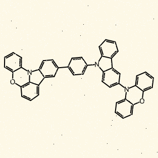 c1ccc2c(c1)Oc1ccccc1N2c1ccc2c(c1)c1ccccc1n2-c1ccc(-c2ccc3c(c2)c2cccc4c2n3-c2ccccc2O4)cc1